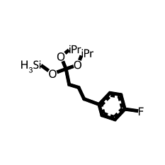 CC(C)OC(CCCc1ccc(F)cc1)(O[SiH3])OC(C)C